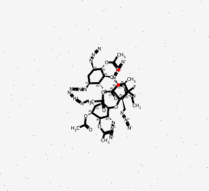 CC[C@H]1O[C@@H](O[C@@H]2[C@@H](OC(C)=O)[C@H](N=[N+]=[N-])C[C@H](N=[N+]=[N-])[C@H]2O[C@H]2O[C@H](CN=[N+]=[N-])C(F)(F)[C@H](C)[C@H]2N=[N+]=[N-])[C@H](OC(C)=O)C1OC1O[C@@H](CN=[N+]=[N-])[C@@H](OC(C)=O)[C@H](OC(C)=O)[C@H]1N=[N+]=[N-]